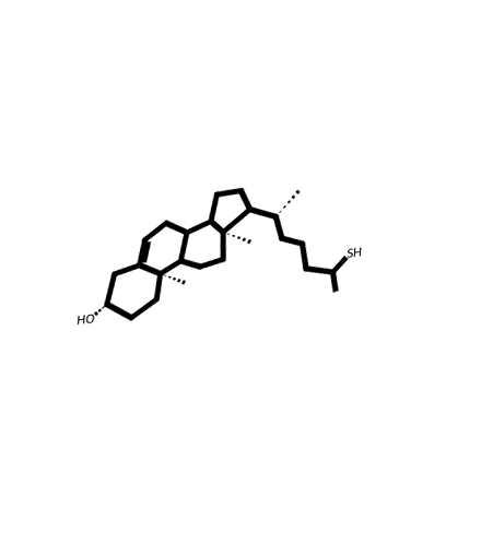 CC(S)CCC[C@@H](C)C1CCC2C3CC=C4C[C@@H](O)CC[C@]4(C)C3CC[C@@]21C